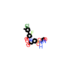 COc1cc(-c2ccc(Cl)c(C)c2)c(F)cc1-n1c(=O)c(OC)cc2cc(S(=O)(=O)Nc3ccon3)ccc21